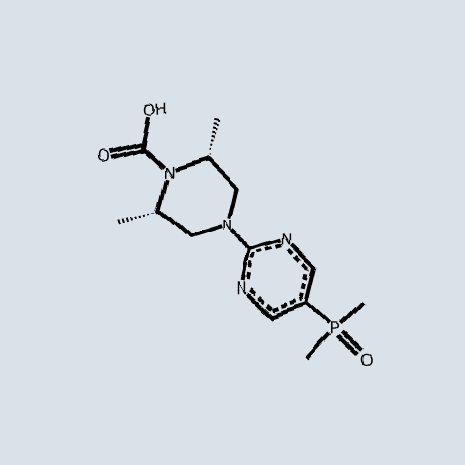 C[C@@H]1CN(c2ncc(P(C)(C)=O)cn2)C[C@H](C)N1C(=O)O